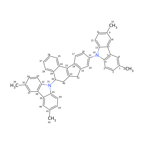 Cc1ccc2c(c1)c1cc(C)ccc1n2-c1ccc2c(c1)CC1=C2c2ccccc2C(n2c3ccc(C)cc3c3cc(C)ccc32)C1